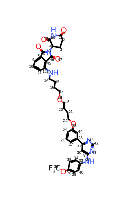 O=C1CCC(N2C(=O)c3cccc(NCCCCOCCCCOc4cccc(-c5cc(Nc6ccc(OC(F)(F)F)cc6)ncn5)c4)c3C2=O)C(=O)N1